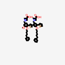 COc1cc(CN2CC(C(=O)O)C2)cc(-c2cccs2)c1OCCCCCc1ccccc1.O=C(O)C1CN(Cc2ccc(OCCCCCCc3ccccc3)c(-c3cccs3)c2)C1